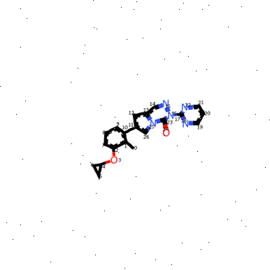 Cc1c(OC2CC2)cccc1-c1cc2cnn(-c3ncccn3)c(=O)n2c1